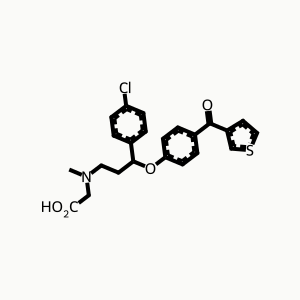 CN(CCC(Oc1ccc(C(=O)c2ccsc2)cc1)c1ccc(Cl)cc1)CC(=O)O